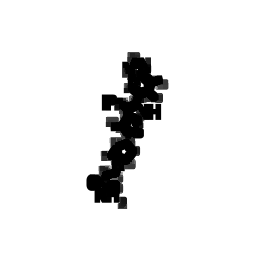 Cc1c(-c2[nH]c3sc([C@@H]4CC5CC4CN5CCS(N)(=O)=O)c(C)c3c2C(C)C)cn2ncnc2c1C